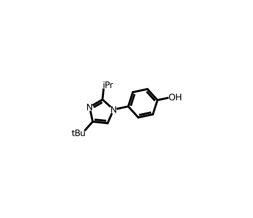 CC(C)c1nc(C(C)(C)C)cn1-c1ccc(O)cc1